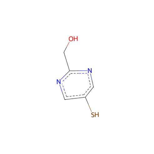 OCc1ncc(S)cn1